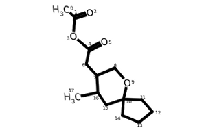 CC(=O)OC(=O)CC1COC2(CCCC2)CC1C